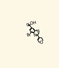 O=C(O)c1cc(Br)c2nc(C3=CCOCC3)cnc2c1